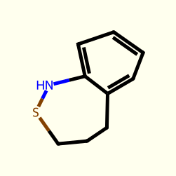 c1ccc2c(c1)CCCSN2